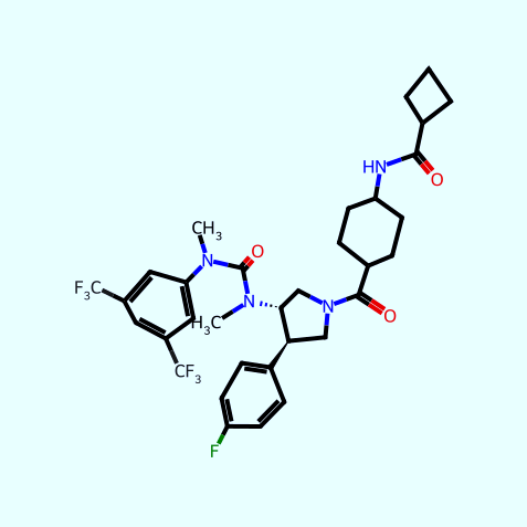 CN(C(=O)N(C)[C@@H]1CN(C(=O)C2CCC(NC(=O)C3CCC3)CC2)C[C@H]1c1ccc(F)cc1)c1cc(C(F)(F)F)cc(C(F)(F)F)c1